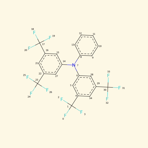 FC(F)(F)c1cc(N(c2ccccc2)c2cc(C(F)(F)F)cc(C(F)(F)F)c2)cc(C(F)(F)F)c1